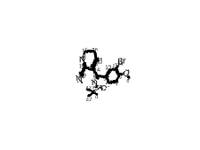 COc1ccc(/C(=N\[S+]([O-])C(C)(C)C)c2cccnc2C#N)cc1Br